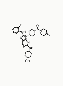 CN1CCN(C(=O)[C@H]2CC[C@@H](n3c(Nc4ccccc4F)nc4cnc(N[C@H]5CC[C@H](O)CC5)nc43)CC2)CC1